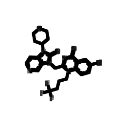 O=c1nc(Cn2c(=O)n(C3CCOCC3)c3ccncc32)n(CCCC(F)(F)F)c2ccc(Cl)cc12